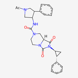 CC(=O)N1CC(NC(=O)N2CCN3C(=O)N([C@H]4C[C@@H]4c4ccccc4)C(=O)[C@@H]3C2)C(c2ccccc2)C1